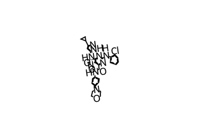 O=C(Nc1ccc(N2CCOCC2)cc1)c1nc(Nc2ccccc2Cl)nc(Nc2cc(C3CC3)n[nH]2)c1[N+](=O)[O-]